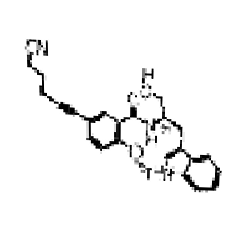 CC(C)Oc1ccc(C#CCCCC#N)cc1C(=O)N[C@@H](CO)Cc1c[nH]c2ccccc12